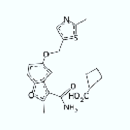 Cc1ncc(COc2ccc3oc(C)c(C(N)=O)c3c2)s1.O=C(O)C1CCC1